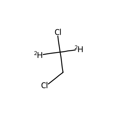 [2H]C([2H])(Cl)CCl